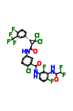 O=C(Nc1ccc(F)c(NC(=O)C(F)F)c1F)c1cc(NC(=O)[C@H]2[C@H](c3ccc(F)c(C(F)(F)F)c3)C2(Cl)Cl)ccc1Cl